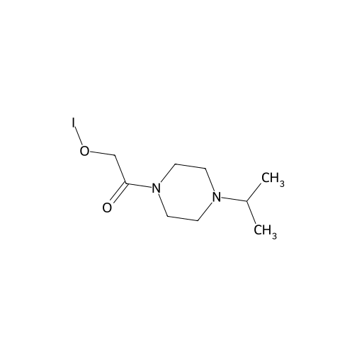 CC(C)N1CCN(C(=O)COI)CC1